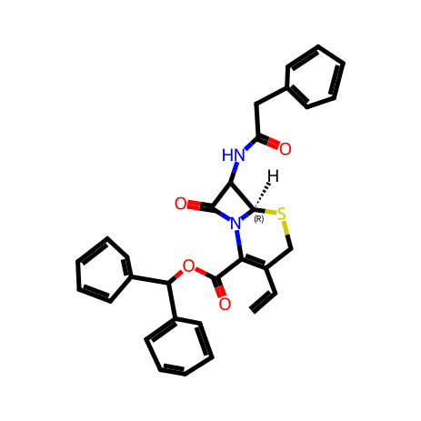 C=CC1=C(C(=O)OC(c2ccccc2)c2ccccc2)N2C(=O)C(NC(=O)Cc3ccccc3)[C@H]2SC1